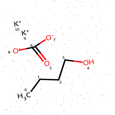 CCCCO.O=C([O-])[O-].[K+].[K+]